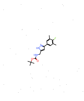 Cc1cc(-c2cc(CNC(=O)OC(C)(C)C)[nH]n2)cc(C)c1F